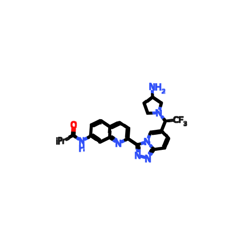 CC(C)C(=O)Nc1ccc2ccc(-c3nnc4ccc(C(N5CCC(N)C5)C(F)(F)F)cn34)nc2c1